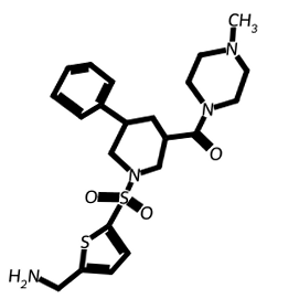 CN1CCN(C(=O)C2CC(c3ccccc3)CN(S(=O)(=O)c3ccc(CN)s3)C2)CC1